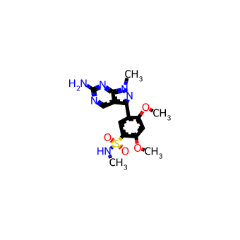 CNS(=O)(=O)c1cc(-c2nn(C)c3nc(N)ncc23)c(OC)cc1OC